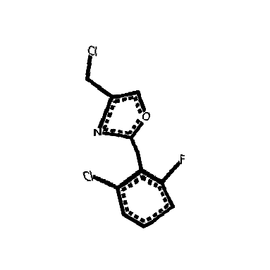 Fc1cccc(Cl)c1-c1nc(CCl)co1